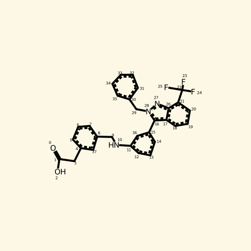 O=C(O)Cc1cccc(CNc2cccc(-c3c4cccc(C(F)(F)F)c4nn3Cc3ccccc3)c2)c1